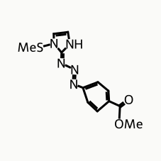 COC(=O)c1ccc(/N=N/N=c2\[nH]ccn2SC)cc1